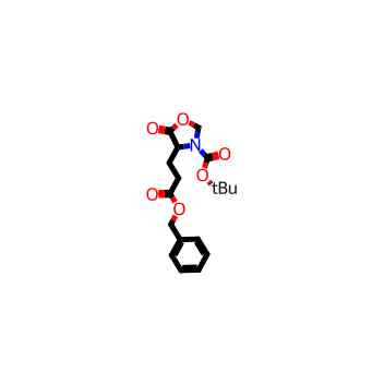 CC(C)(C)OC(=O)N1COC(=O)C1CCC(=O)OCc1ccccc1